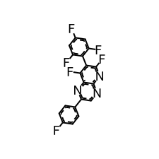 Fc1ccc(-c2cnc3nc(F)c(-c4c(F)cc(F)cc4F)c(F)c3n2)cc1